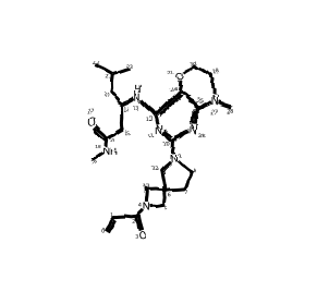 C=CC(=O)N1CC2(CCN(c3nc(NC(CC(=O)NC)CC(C)C)c4c(n3)N(C)CCO4)C2)C1